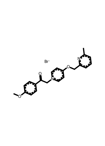 COc1ccc(C(=O)C[n+]2ccc(OCc3cccc(C)n3)cc2)cc1.[Br-]